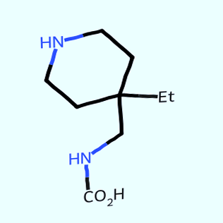 CCC1(CNC(=O)O)CCNCC1